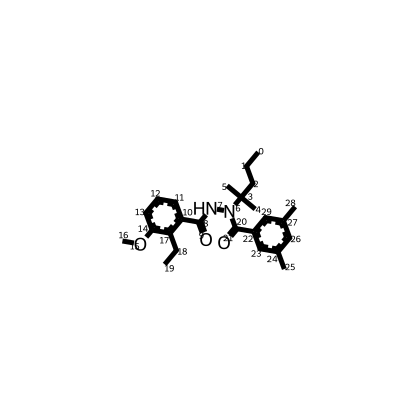 CCCC(C)(C)N(NC(=O)c1cccc(OC)c1CC)C(=O)c1cc(C)cc(C)c1